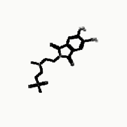 CN(CCN1C(=O)c2cc(N)c([N+](=O)[O-])cc2C1=O)CCS(C)(=O)=O